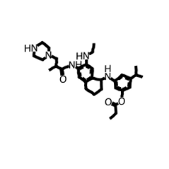 CCNc1cc2c(cc1NC(=O)C(C)CN1CCNCC1)CCCC2Nc1cc(OC(=O)CC)cc(C(C)C)c1